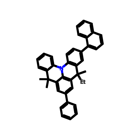 CCC1(C)c2cc(-c3cccc4ccccc34)ccc2N2c3ccccc3C(C)(C)c3cc(-c4ccccc4)cc1c32